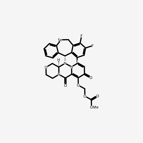 COC(=O)OCOc1c2n(ccc1=O)N([C@@H]1c3ccccc3[Se]Cc3c(F)c(F)cc(F)c31)[C@@H]1COCCN1C2=O